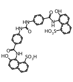 O=C(Nc1ccc(C(=O)Nc2c(O)ccc3cccc(S(=O)(=O)O)c23)cc1)Nc1ccc(C(=O)Nc2c(O)ccc3cccc(S(=O)(=O)O)c23)cc1